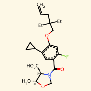 C=CCC(CC)(CC)COc1cc(F)c(C(=O)N2CO[C@H](C)[C@H]2C(=O)O)cc1C1CC1